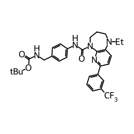 CCN1CCCN(C(=O)Nc2ccc(CNC(=O)OC(C)(C)C)cc2)c2nc(-c3cccc(C(F)(F)F)c3)ccc21